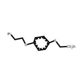 CCOC(=O)CSc1ccc(OCCC(C)C)cc1